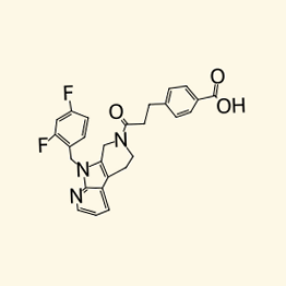 O=C(O)c1ccc(CCC(=O)N2CCc3c(n(Cc4ccc(F)cc4F)c4ncccc34)C2)cc1